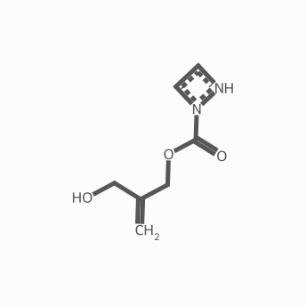 C=C(CO)COC(=O)n1cc[nH]1